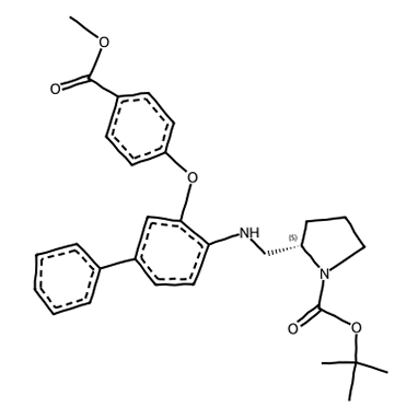 COC(=O)c1ccc(Oc2cc(-c3ccccc3)ccc2NC[C@@H]2CCCN2C(=O)OC(C)(C)C)cc1